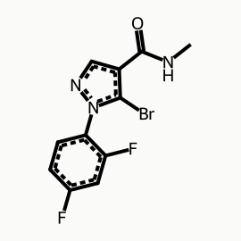 CNC(=O)c1cnn(-c2ccc(F)cc2F)c1Br